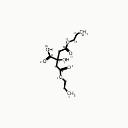 CCCOC(=O)CC(O)(CC(=O)OCCC)C(=O)O